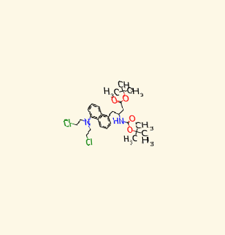 CC(C)(C)OC(=O)CC(Cc1cccc2c(N(CCCl)CCCl)cccc12)NC(=O)OC(C)(C)C